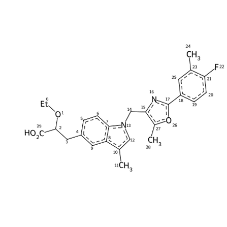 CCOC(Cc1ccc2c(c1)c(C)cn2Cc1nc(-c2ccc(F)c(C)c2)oc1C)C(=O)O